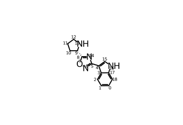 c1ccc2c(-c3noc([C@@H]4CCCN4)n3)c[nH]c2c1